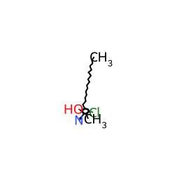 CCCCCCCCCCCCCCCCc1cc(Cl)c(C)c(C#N)c1O